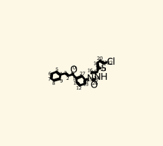 O=C(C=Cc1ccccc1)c1cccc(-n2cc(-c3ccc(Cl)s3)[nH]c2=O)c1